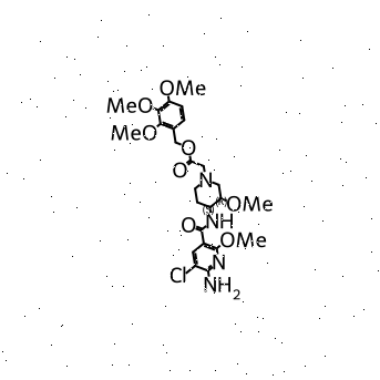 COc1ccc(COC(=O)CN2CC[C@H](NC(=O)c3cc(Cl)c(N)nc3OC)[C@H](OC)C2)c(OC)c1OC